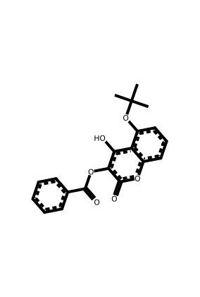 CC(C)(C)Oc1cccc2oc(=O)c(OC(=O)c3ccccc3)c(O)c12